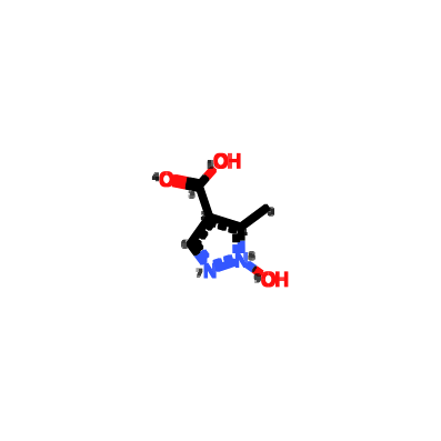 Cc1c(C(=O)O)cnn1O